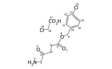 NCC(=O)CCC(=O)OCc1ccc(Cl)cc1.O=C(O)CCl